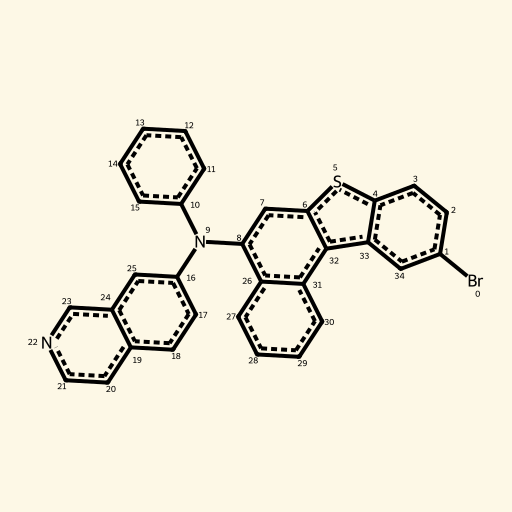 Brc1ccc2sc3cc(N(c4ccccc4)c4ccc5ccncc5c4)c4ccccc4c3c2c1